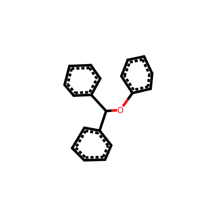 c1ccc(OC(c2ccccc2)c2ccccc2)cc1